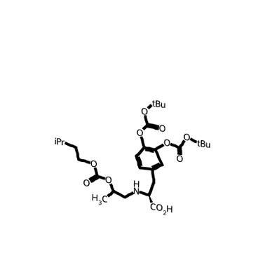 CC(C)CCOC(=O)OC(C)CN[C@@H](Cc1ccc(OC(=O)OC(C)(C)C)c(OC(=O)OC(C)(C)C)c1)C(=O)O